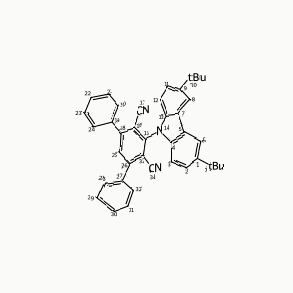 CC(C)(C)c1ccc2c(c1)c1cc(C(C)(C)C)ccc1n2-c1c(C#N)c(-c2ccccc2)cc(-c2ccccc2)c1C#N